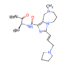 CNC(=O)[C@@H](NC(=O)c1nc(/C=C/CN2CCCC2)n2c1CN(C)CCC2)C(C)(C)C